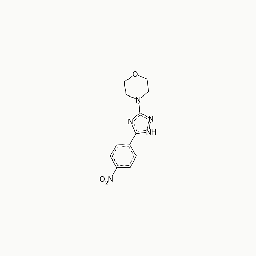 O=[N+]([O-])c1ccc(-c2nc(N3CCOCC3)n[nH]2)cc1